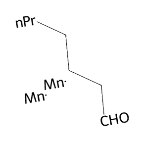 CCCCCCC=O.[Mn].[Mn]